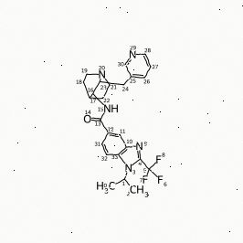 CC(C)n1c(C(F)(F)F)nc2cc(C(=O)NC3C4CCN(CC4)C3Cc3cccnc3)ccc21